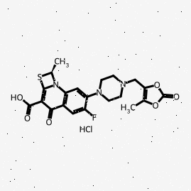 Cc1oc(=O)oc1CN1CCN(c2cc3c(cc2F)c(=O)c(C(=O)O)c2n3[C@H](C)S2)CC1.Cl